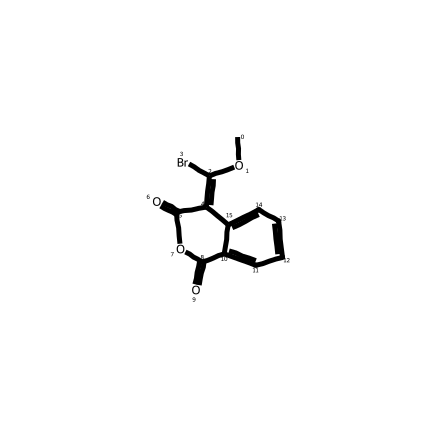 CO/C(Br)=C1/C(=O)OC(=O)c2ccccc21